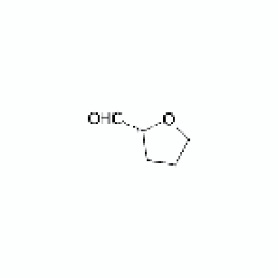 O=C[C]1CCCO1